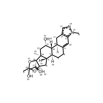 CC1O[C@@H]2C[C@H]3[C@@H]4CCC5=Cc6c(cnn6C)C[C@]5(C)[C@H]4[C@@H](O)C[C@]3(C)[C@]2(C(=O)CO)O1